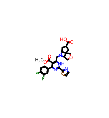 COC(=O)C1=C(CN2C3COCC34CC(C(=O)O)CC24)NC(c2nccs2)=NC1c1ccc(F)c(F)c1